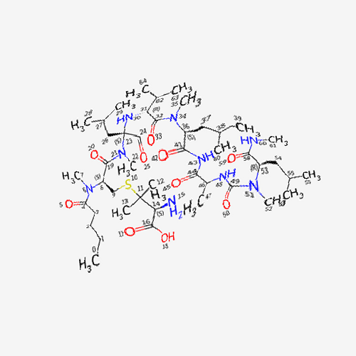 CCCCC(=O)N(C)[C@H](CSC(C)(C)[C@@H](N)C(=O)O)C(=O)N(C)[C@](C=O)(CC(C)C)N[C@@H](C(=O)N(C)[C@@H](CC(C)C)C(=O)NC(=O)C(C)NC(=O)N(C)[C@H](CC(C)C)C(=O)NC)C(C)C